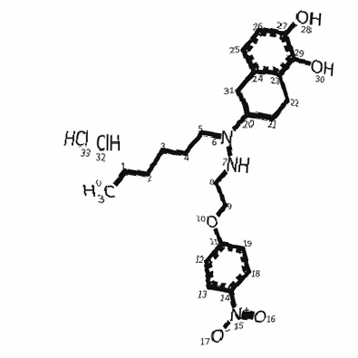 CCCCCCN(NCCOc1ccc([N+](=O)[O-])cc1)C1CCc2c(ccc(O)c2O)C1.Cl.Cl